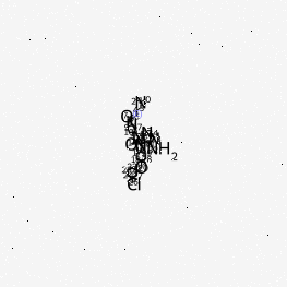 CN(C)C/C=C/C(=O)N1CCC(n2c(=O)n(-c3ccc(Oc4cccc(Cl)c4)cc3)c3c(N)ncnc32)C1